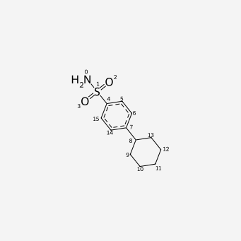 NS(=O)(=O)c1ccc(C2CCCCC2)cc1